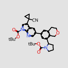 CC(C)(C)OC(=O)N1CCCC1c1cc(-c2cnc3c(c2)c(C2(C#N)CC2)cn3C(=O)OC(C)(C)C)cc2c1COCC2